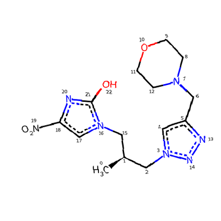 C[C@H](Cn1cc(CN2CCOCC2)nn1)Cn1cc([N+](=O)[O-])nc1O